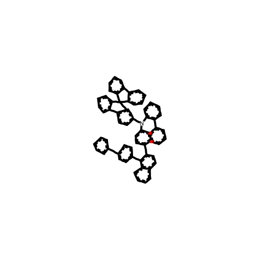 c1ccc(-c2ccc(-c3c(-c4ccc(N(c5ccc6c(c5)C5(c7ccccc7-c7ccccc75)c5ccccc5-6)c5ccccc5-c5ccccc5)cc4)ccc4ccccc34)cc2)cc1